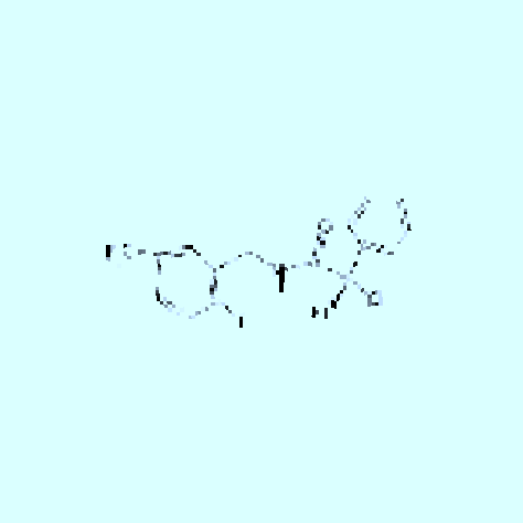 CC[C@@](O)(C(=O)NCc1cc(C(F)(F)F)ccc1F)c1ccccc1